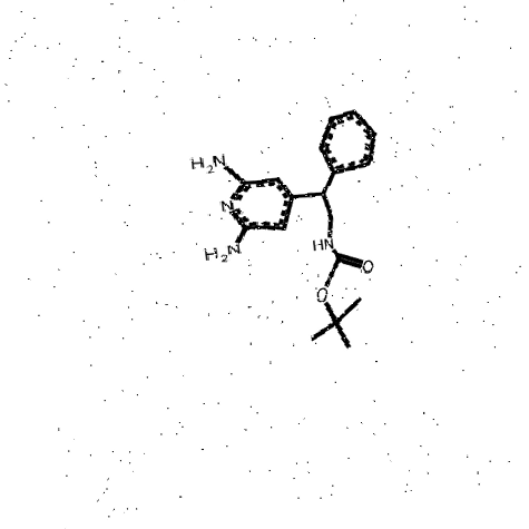 CC(C)(C)OC(=O)NCC(c1ccccc1)c1cc(N)nc(N)c1